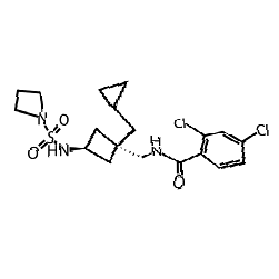 O=C(NC[C@]1(CC2CC2)C[C@@H](NS(=O)(=O)N2CCC2)C1)c1ccc(Cl)cc1Cl